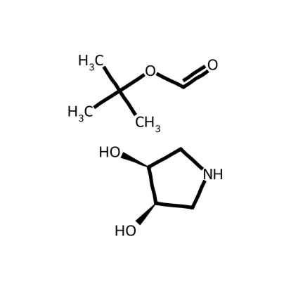 CC(C)(C)OC=O.O[C@@H]1CNC[C@@H]1O